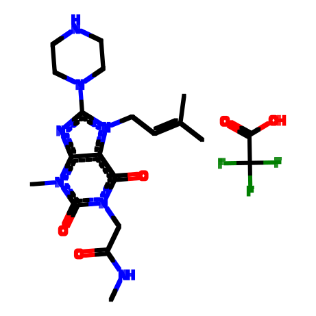 CNC(=O)Cn1c(=O)c2c(nc(N3CCNCC3)n2CC=C(C)C)n(C)c1=O.O=C(O)C(F)(F)F